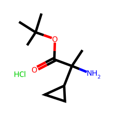 CC(C)(C)OC(=O)C(C)(N)C1CC1.Cl